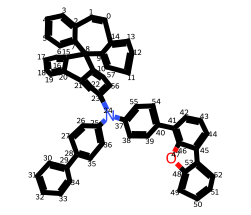 C1=Cc2ccccc2C2(c3ccccc31)c1ccccc1-c1cc(N(c3ccc(-c4ccccc4)cc3)c3ccc(-c4cccc5c4oc4ccccc45)cc3)ccc12